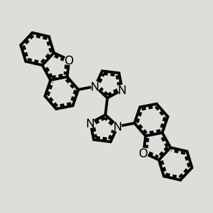 c1ccc2c(c1)oc1c(-n3ccnc3-c3nccn3-c3cccc4c3oc3ccccc34)cccc12